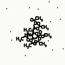 CCC(=O)N[C@H]1[C@H]([C@H](C)[C@@H](COC(C)=O)OC(C)=O)O[C@](OC(C)=O)(C(=O)OC)C[C@@H]1OC(C)=O